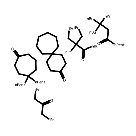 CC(C)CC(=O)CC(C)C.CCCCC(=O)C(CCC)(CC(C)C)CC(C)C.CCCCCC(=O)CC(CCC)(CCCC)CCCC.CCCCCC1(CCCCC)CCCC(=O)CC1.O=C1CCC2(CCCCCC2)CC1